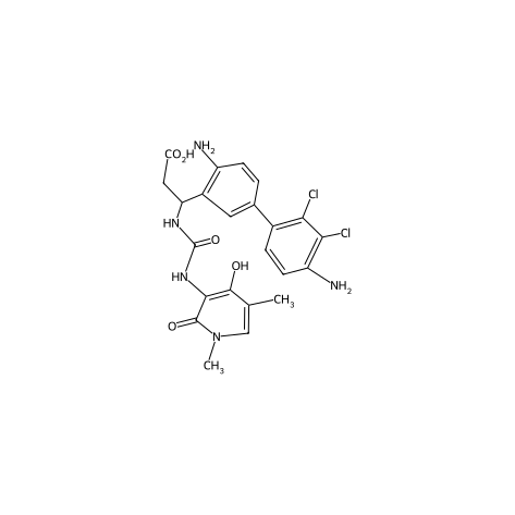 Cc1cn(C)c(=O)c(NC(=O)NC(CC(=O)O)c2cc(-c3ccc(N)c(Cl)c3Cl)ccc2N)c1O